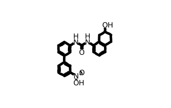 O=C(Nc1cccc(-c2cccc([N+](=O)O)c2)c1)Nc1cccc2c1CC(O)CC2